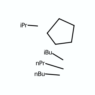 C1CCCC1.CC(C)C.CCC(C)C.CCCC.CCCCC